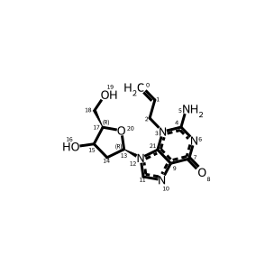 C=CCn1c(N)nc(=O)c2ncn([C@H]3CC(O)[C@@H](CO)O3)c21